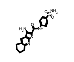 Nc1c(C(=O)Nc2ccc(S(N)(=O)=O)cc2)sc2nc3c(cc12)CCCC3